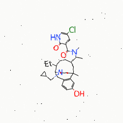 CCC1C[C@H](C)C(C(C)N(C)C(=O)c2cc(Cl)c[nH]c2=O)CC2(C)CCCN(CC3CC3)C1Cc1ccc(O)cc12